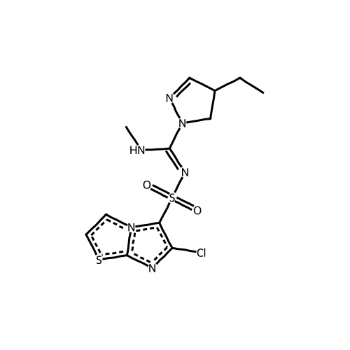 CCC1C=NN(/C(=N/S(=O)(=O)c2c(Cl)nc3sccn23)NC)C1